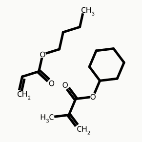 C=C(C)C(=O)OC1CCCCC1.C=CC(=O)OCCCC